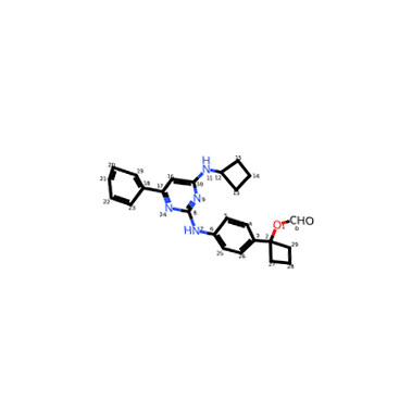 O=COC1(c2ccc(Nc3nc(NC4CCC4)cc(-c4ccccc4)n3)cc2)CCC1